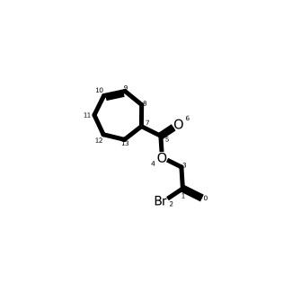 C=C(Br)COC(=O)C1CC=CCCC1